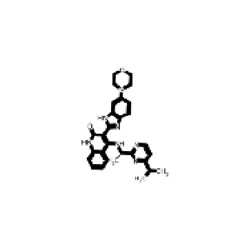 CC(C)c1ccnc([C@H](C)Nc2c(-c3nc4ccc(N5CCOCC5)cc4[nH]3)c(=O)[nH]c3ccccc23)n1